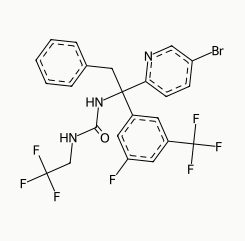 O=C(NCC(F)(F)F)NC(Cc1ccccc1)(c1cc(F)cc(C(F)(F)F)c1)c1ccc(Br)cn1